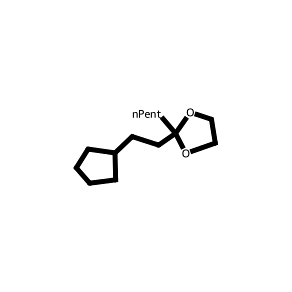 CCCCCC1(CCC2CCCC2)OCCO1